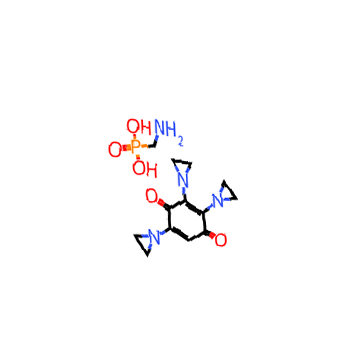 NCP(=O)(O)O.O=C1C=C(N2CC2)C(=O)C(N2CC2)=C1N1CC1